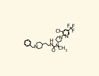 CN(C(=O)NCCC1CCN(Cc2ccccc2)CC1)C1CCN(c2ncc(C(F)(F)F)cc2Cl)C1